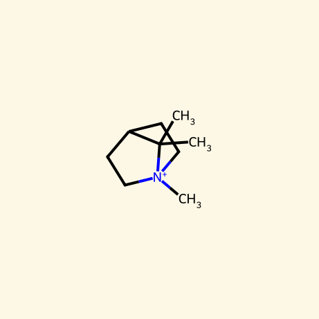 CC1(C)C2CC[N+]1(C)CC2